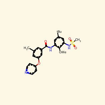 COc1c(NC(=O)c2cc(C)cc(Oc3ccncc3)c2)cc(C(C)(C)C)cc1NS(C)(=O)=O